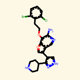 Nc1ncc2c(-c3c[nH]nc3C3CCNCC3)coc2c1OCCc1c(Cl)cccc1Br